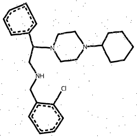 Clc1ccccc1CNCC(c1ccccc1)N1CCN(C2CCCCC2)CC1